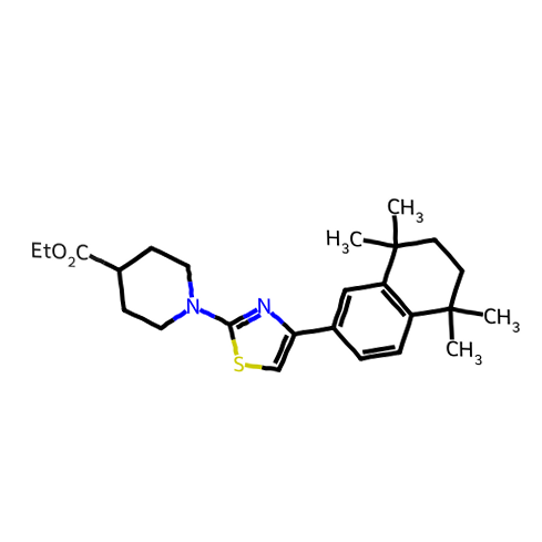 CCOC(=O)C1CCN(c2nc(-c3ccc4c(c3)C(C)(C)CCC4(C)C)cs2)CC1